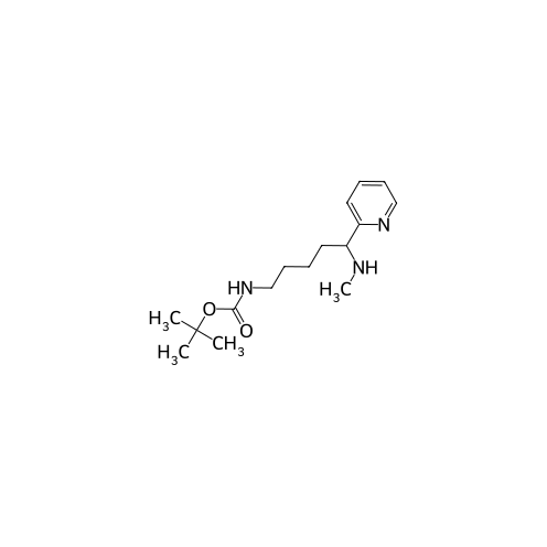 CNC(CCCCNC(=O)OC(C)(C)C)c1ccccn1